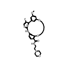 COc1cc2cc(c1)-c1nc(ncc1F)Nc1ccc(C(=O)NCCN3CCOCC3)c(c1)OCCCCCCO2